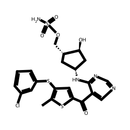 Cc1sc(C(=O)c2cncnc2N[C@@H]2C[C@H](COS(N)(=O)=O)[C@@H](O)C2)cc1Sc1cccc(Cl)c1